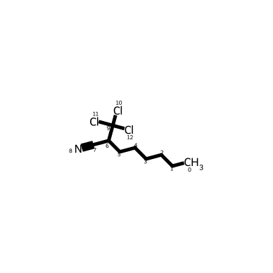 CCCCCCC(C#N)C(Cl)(Cl)Cl